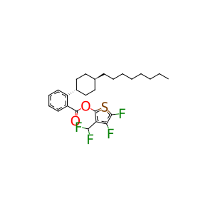 CCCCCCCC[C@H]1CC[C@H](c2ccccc2C(=O)Oc2sc(F)c(F)c2C(F)F)CC1